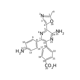 Cc1ncc(-c2nc(-c3ccc(N)cc3)c(-c3ccc(C(=O)O)cc3)nc2N)o1